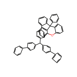 c1ccc(-c2ccc(C(c3ccc(-c4ccccc4)cc3)c3ccc(-c4ccccc4C4(c5ccccc5)c5ccccc5Oc5ccccc54)cc3)cc2)cc1